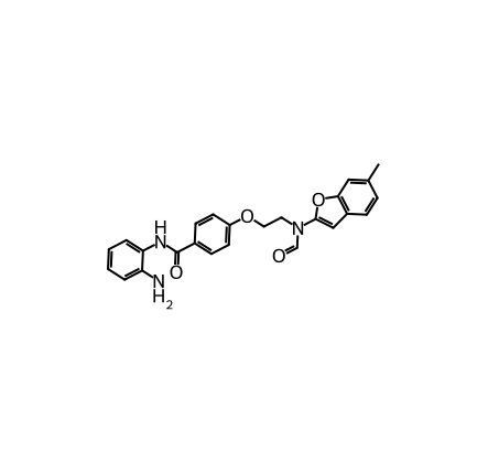 Cc1ccc2cc(N(C=O)CCOc3ccc(C(=O)Nc4ccccc4N)cc3)oc2c1